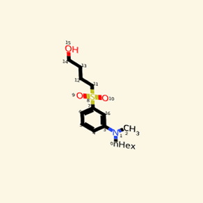 CCCCCCN(C)c1cccc(S(=O)(=O)CCCCO)c1